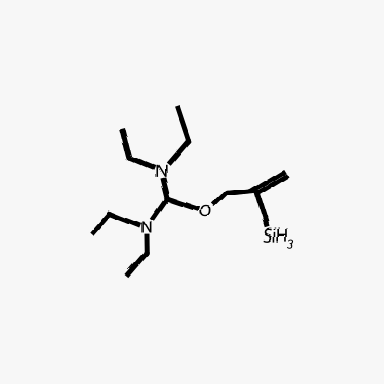 C=C([SiH3])COC(N(CC)CC)N(CC)CC